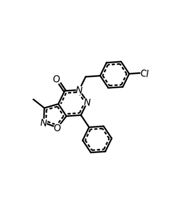 Cc1noc2c(-c3ccccc3)nn(Cc3ccc(Cl)cc3)c(=O)c12